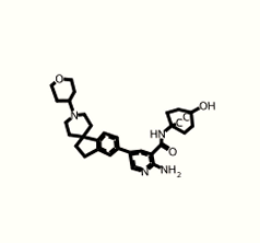 Nc1ncc(-c2ccc3c(c2)CCC32CCN(C3CCOCC3)CC2)cc1C(=O)NC12CCC(O)(CC1)CC2